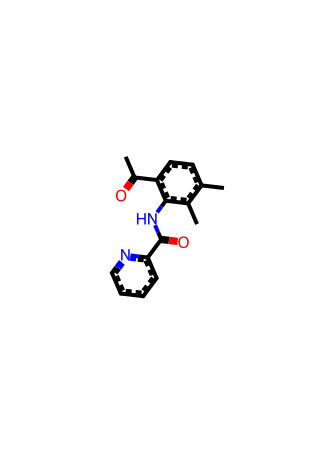 CC(=O)c1ccc(C)c(C)c1NC(=O)c1ccccn1